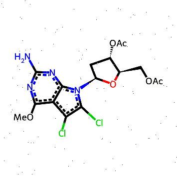 COc1nc(N)nc2c1c(Cl)c(Cl)n2[C@H]1C[C@H](OC(C)=O)[C@@H](COC(C)=O)O1